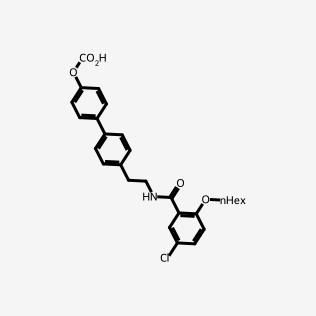 CCCCCCOc1ccc(Cl)cc1C(=O)NCCc1ccc(-c2ccc(OC(=O)O)cc2)cc1